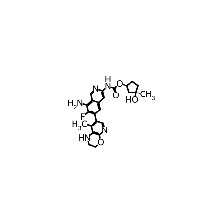 Cc1c(-c2cc3cc(NC(=O)O[C@H]4CC[C@](C)(O)C4)ncc3c(N)c2F)cnc2c1NCCO2